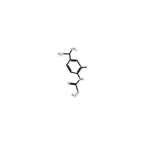 COC(=O)Nc1ccc(C(C)C)cc1I